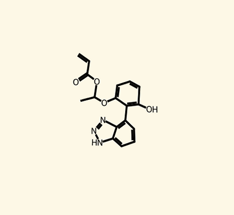 C=CC(=O)OC(C)Oc1cccc(O)c1-c1cccc2[nH]nnc12